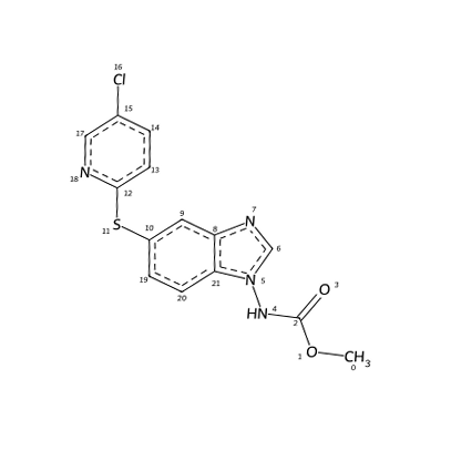 COC(=O)Nn1cnc2cc(Sc3ccc(Cl)cn3)ccc21